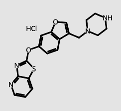 Cl.c1cnc2nc(Oc3ccc4c(CN5CCNCC5)coc4c3)sc2c1